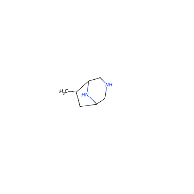 CC1CC2CNCC1N2